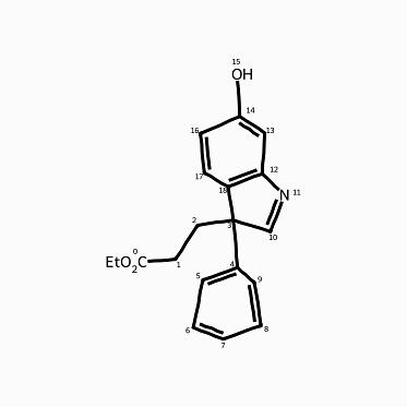 CCOC(=O)CCC1(c2ccccc2)C=Nc2cc(O)ccc21